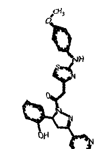 COc1ccc(Nc2nc(CC(=O)N3N=C(c4cccnc4)CC3c3ccccc3O)cs2)cc1